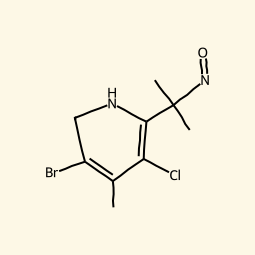 CC1=C(Br)CNC(C(C)(C)N=O)=C1Cl